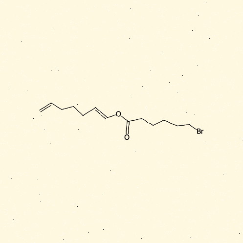 C=CCCCC=COC(=O)CCCCCBr